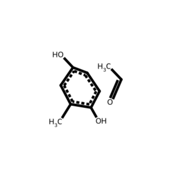 CC=O.Cc1cc(O)ccc1O